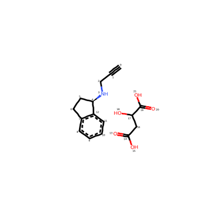 C#CCN[C@@H]1CCc2ccccc21.O=C(O)CC(O)C(=O)O